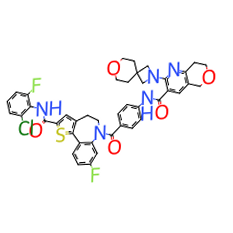 O=C(Nc1c(F)cccc1Cl)c1cc2c(s1)-c1ccc(F)cc1N(C(=O)c1ccc(NC(=O)c3cc4c(nc3N3CC5(CCOCC5)C3)CCOC4)cc1)CC2